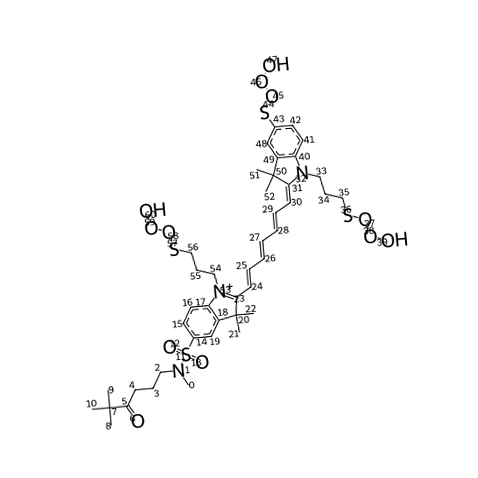 CN(CCCC(=O)C(C)(C)C)S(=O)(=O)c1ccc2c(c1)C(C)(C)C(/C=C/C=C/C=C/C=C1/N(CCCSOOO)c3ccc(SOOO)cc3C1(C)C)=[N+]2CCCSOOO